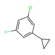 Fc1cc(Cl)cc(C2CC2)c1